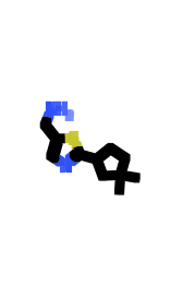 CC1(C)CCC(c2ncc(CN)s2)C1